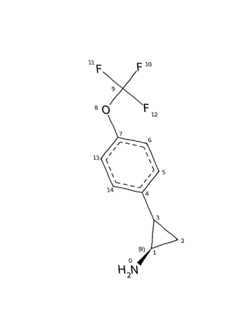 N[C@@H]1CC1c1ccc(OC(F)(F)F)cc1